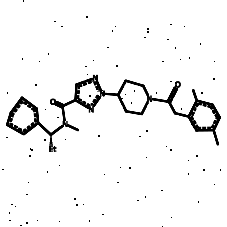 CC[C@H](c1ccccc1)N(C)C(=O)c1cnn(C2CCN(C(=O)Cc3cc(C)ccc3C)CC2)n1